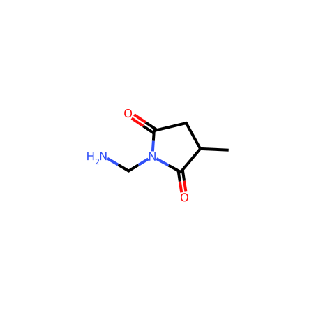 CC1CC(=O)N(CN)C1=O